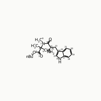 CCCCOC(=O)C(C)(C)N(C)C(=O)[C@H](N)Cc1c[nH]c2ccccc12